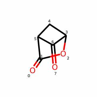 O=C1OC2CC1C2=O